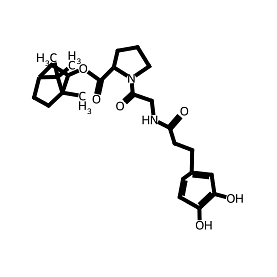 CC1(C)C2CCC1(C)C(OC(=O)C1CCCN1C(=O)CNC(=O)CCc1ccc(O)c(O)c1)C2